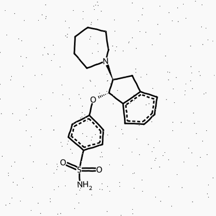 NS(=O)(=O)c1ccc(O[C@H]2c3ccccc3C[C@@H]2N2CCCCCC2)cc1